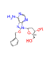 Nc1ncnc2c1nc(OCc1ccccc1)n2C1CC(O)[C@@H](CO)O1